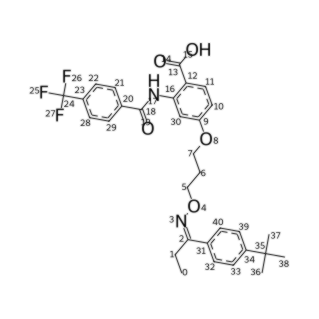 CCC(=NOCCCOc1ccc(C(=O)O)c(NC(=O)c2ccc(C(F)(F)F)cc2)c1)c1ccc(C(C)(C)C)cc1